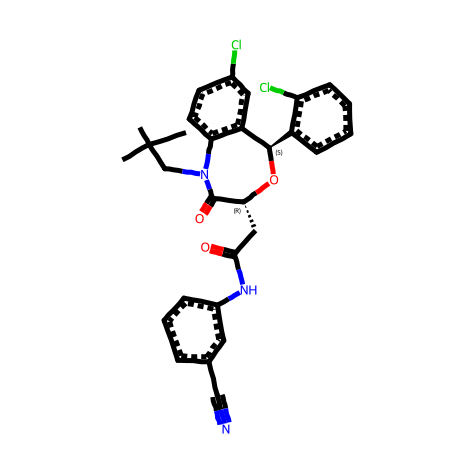 CC(C)(C)CN1C(=O)[C@@H](CC(=O)Nc2cccc(C#N)c2)O[C@H](c2ccccc2Cl)c2cc(Cl)ccc21